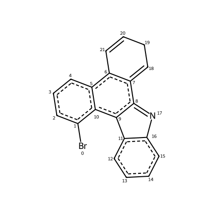 Brc1cccc2c3c(c4c(c12)-c1ccccc1N=4)=CCC=C3